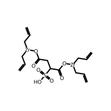 C=C[CH2][Zr]([CH2]C=C)[O]C(=O)CC(C(=O)[O][Zr]([CH2]C=C)[CH2]C=C)S(=O)(=O)O